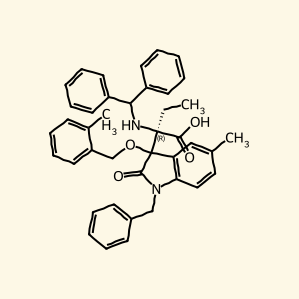 CC[C@](NC(c1ccccc1)c1ccccc1)(C(=O)O)C1(OCc2ccccc2C)C(=O)N(Cc2ccccc2)c2ccc(C)cc21